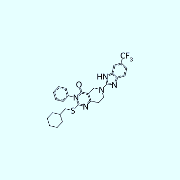 O=c1c2c(nc(SCC3CCCCC3)n1-c1ccccc1)CCN(c1nc3ccc(C(F)(F)F)cc3[nH]1)C2